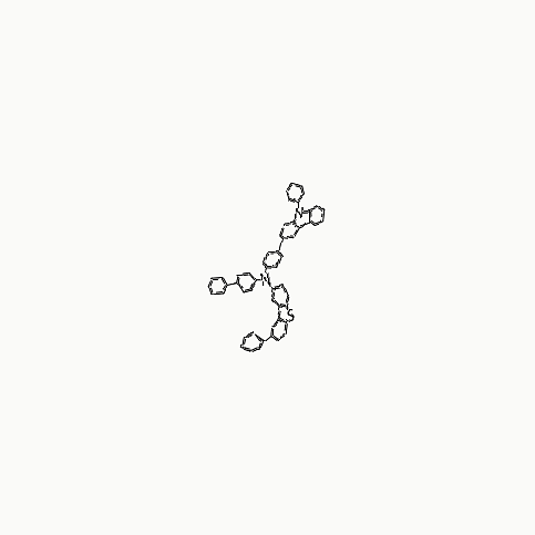 c1ccc(-c2ccc(N(c3ccc(-c4ccc5c(c4)c4ccccc4n5-c4ccccc4)cc3)c3ccc4sc5ccc(-c6ccccc6)cc5c4c3)cc2)cc1